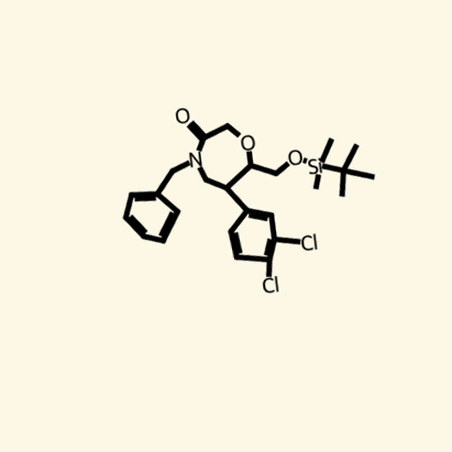 CC(C)(C)[Si](C)(C)OCC1OCC(=O)N(Cc2ccccc2)CC1c1ccc(Cl)c(Cl)c1